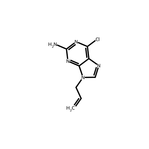 C=CCn1cnc2c(Cl)nc(N)nc21